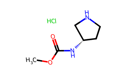 COC(=O)N[C@H]1CCNC1.Cl